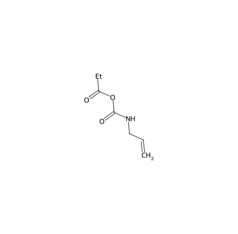 C=CCNC(=O)OC(=O)CC